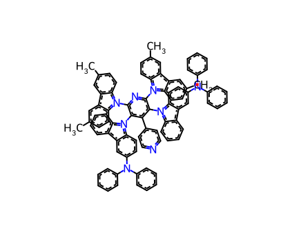 Cc1ccc2c(c1)c1cc(C)ccc1n2-c1nc(-n2c3ccc(C)cc3c3cc(C)ccc32)c(-n2c3ccccc3c3cc(N(c4ccccc4)c4ccccc4)ccc32)c(-c2ccncc2)c1-n1c2ccccc2c2cc(N(c3ccccc3)c3ccccc3)ccc21